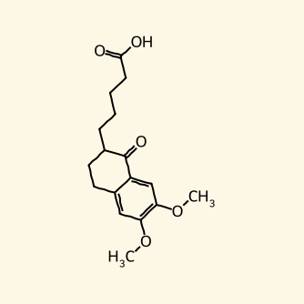 COc1cc2c(cc1OC)C(=O)C(CCCCC(=O)O)CC2